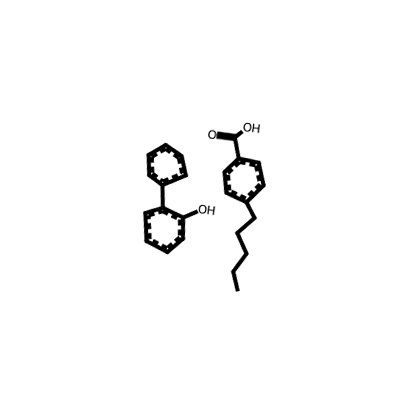 CCCCCc1ccc(C(=O)O)cc1.Oc1ccccc1-c1ccccc1